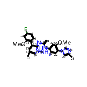 C=C(/N=c1/c(-c2ccc(F)cc2OC)cc(C)cn1N)Nc1ccc(-n2cnc(C)c2)c(OC)c1